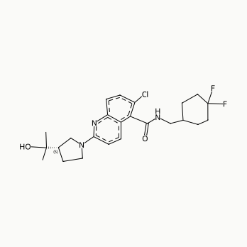 CC(C)(O)[C@H]1CCN(c2ccc3c(C(=O)NCC4CCC(F)(F)CC4)c(Cl)ccc3n2)C1